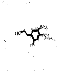 NNc1cc(Cl)c(CCO)cc1[N+](=O)[O-]